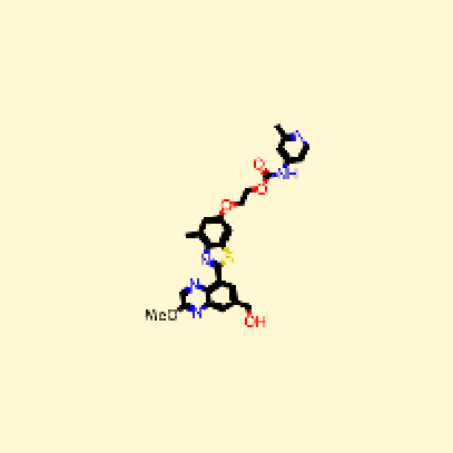 COc1cnc2c(-c3nc4c(C)cc(OCCOC(=O)Nc5ccnc(C)c5)cc4s3)cc(CO)cc2n1